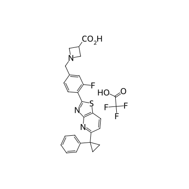 O=C(O)C(F)(F)F.O=C(O)C1CN(Cc2ccc(-c3nc4nc(C5(c6ccccc6)CC5)ccc4s3)c(F)c2)C1